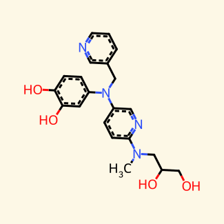 CN(CC(O)CO)c1ccc(N(Cc2cccnc2)c2ccc(O)c(O)c2)cn1